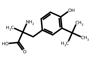 CC(N)(Cc1ccc(O)c(C(C)(C)C)c1)C(=O)O